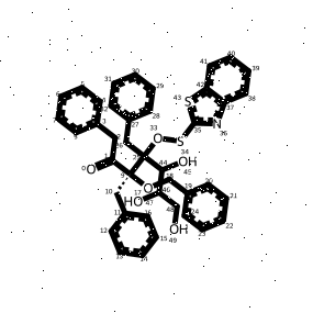 O=C(Cc1ccccc1)[C@](Cc1ccccc1)(OCc1ccccc1)C(Cc1ccccc1)(OSc1nc2ccccc2s1)C(O)C(O)CO